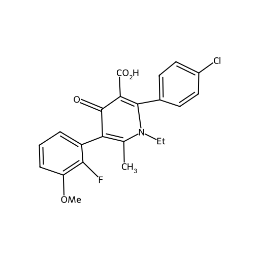 CCn1c(C)c(-c2cccc(OC)c2F)c(=O)c(C(=O)O)c1-c1ccc(Cl)cc1